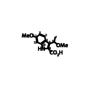 COc1ccc2c(C(C)OC)c(C(=O)O)[nH]c2c1